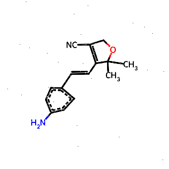 CC1(C)OCC(C#N)=C1C=Cc1ccc(N)cc1